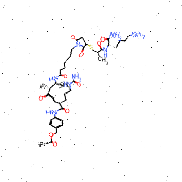 CC(C)C(=O)OCc1ccc(NC(=O)[C@H](CCCNC(N)=O)CCC(=O)[C@H](C(C)C)C([SiH3])NC(=O)CCCCCN2C(=O)CC(SC[C@H](C)C(=O)N[C@@H](CCCCN)C(N)=O)C2=O)cc1